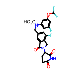 O=C1CCC(N2Cc3c(F)cc(CN(C(=O)O)c4cc(F)cc(OC(F)F)c4)cc3C2=O)C(=O)N1